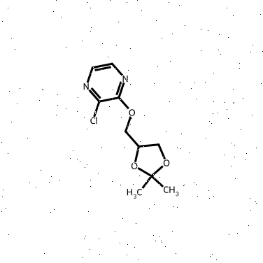 CC1(C)OCC(COc2nccnc2Cl)O1